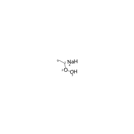 CCOO.[NaH]